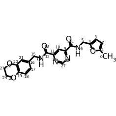 Cc1ccc(CNC(=O)c2cc(C(=O)NCc3ccc4c(c3)OCCO4)ncn2)o1